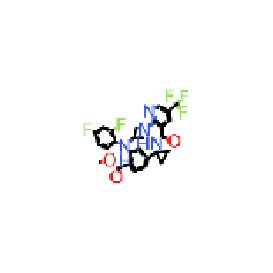 COC(=O)c1ccc(C2(NC(=O)c3cc(C(F)(F)F)cnc3N3CC(Nc4ccc(F)cc4F)C3)CC2)cc1